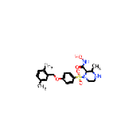 Cc1ccc(C)c(COc2ccc(S(=O)(=O)N3CCNC(C)C3C(=O)NO)cc2)c1